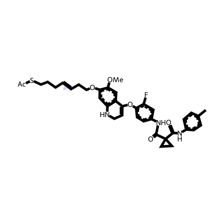 COc1cc2c(cc1OCC/C=C/CCCSC(C)=O)NCC=C2Oc1ccc(NC(=O)C2(C(=O)Nc3ccc(C)cc3)CC2)cc1F